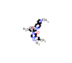 CC(C)C[C@@H]1NCCN([C@](C=O)(CC(C)C)CN2CCC3(CCN(C)C3)CC2)C1=O